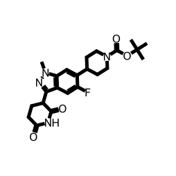 Cn1nc(C2CCC(=O)NC2=O)c2cc(F)c(C3CCN(C(=O)OC(C)(C)C)CC3)cc21